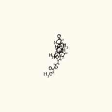 CCC(=O)OCCCC[C@]1(O)CC[C@H]2[C@@H]3CCC4=CC(=O)CC[C@]4(C)[C@H]3CC[C@@]21C